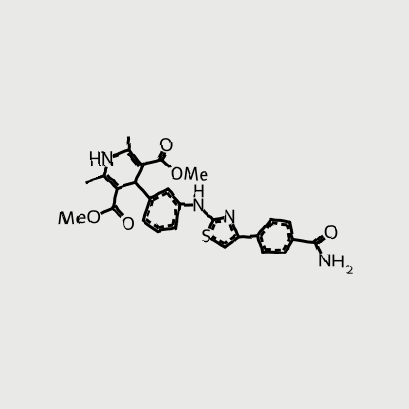 COC(=O)C1=C(C)NC(C)=C(C(=O)OC)C1c1cccc(Nc2nc(-c3ccc(C(N)=O)cc3)cs2)c1